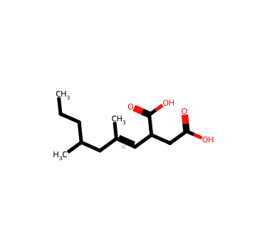 CCCC(C)C/C(C)=C/C(CC(=O)O)C(=O)O